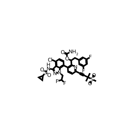 CC(C)(C#Cc1ccc(-c2ccc(Cl)c3c(NS(=O)(=O)C4CC4)nn(CC(F)F)c23)c(C(Cc2cc(F)cc(F)c2)OC(N)=O)n1)S(C)(=O)=O